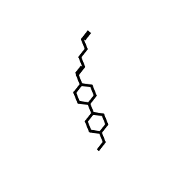 C=CCCC=CC1CCC(C2CCC(CC)CC2)CC1